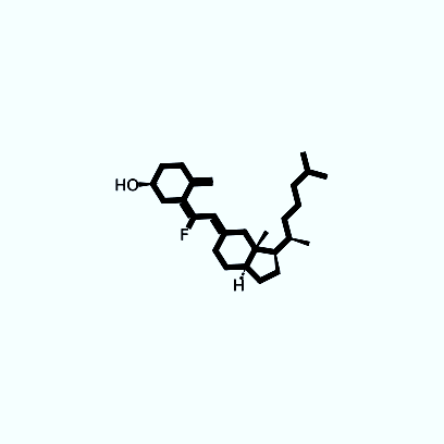 C=C1CC[C@H](O)C/C1=C(F)/C=C1\CC[C@@H]2CC[C@H]([C@H](C)CCCC(C)C)[C@@]2(C)C1